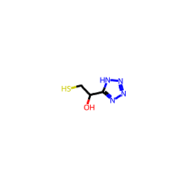 OC(CS)c1nnn[nH]1